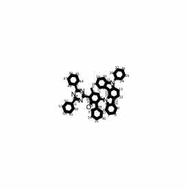 Cc1cc(-n2c3ccccc3c3ccc4c(c5ccccc5n4-c4ccccc4)c32)c2c(oc3ccccc32)c1-c1nc(-c2ccccc2)nc(-c2ccccc2)n1